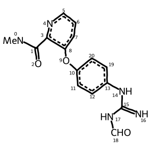 CNC(=O)c1ncccc1Oc1ccc(NC(=N)NC=O)cc1